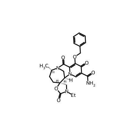 CCN1C[C@@]2(CC[C@H](C)N3C[C@H]2n2cc(C(N)=O)c(=O)c(OCc4ccccc4)c2C3=O)OC1=O